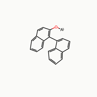 [Al][O]c1ccc2ccccc2c1-c1cccc2ccccc12